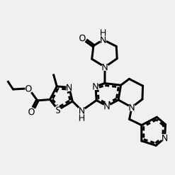 CCOC(=O)c1sc(Nc2nc(N3CCNC(=O)C3)c3c(n2)N(Cc2ccncc2)CCC3)nc1C